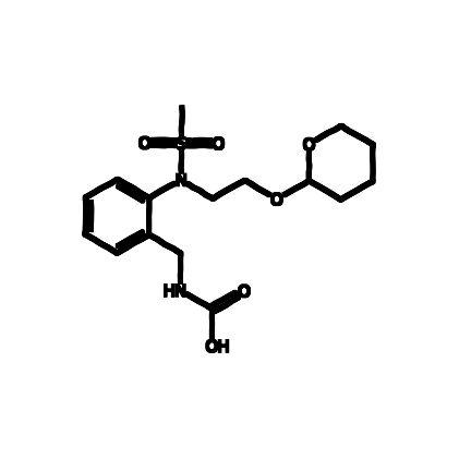 CS(=O)(=O)N(CCOC1CCCCO1)c1ccccc1CNC(=O)O